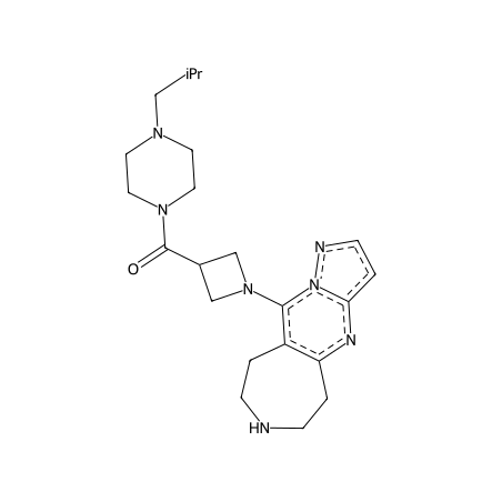 CC(C)CN1CCN(C(=O)C2CN(c3c4c(nc5ccnn35)CCNCC4)C2)CC1